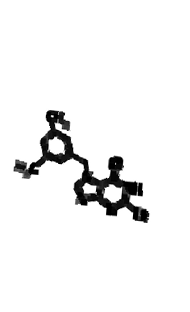 CCc1nc2ncn(Cc3cc(C)cc(C)c3)c2c(=O)[nH]1